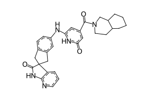 O=C(c1cc(Nc2ccc3c(c2)CC2(C3)C(=O)Nc3ncccc32)[nH]c(=O)c1)N1CCC2CCCCC2C1